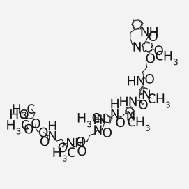 CCC(CO)OC(COC(=O)NCCC(=O)N[C@@H](C)C(=O)OCCCNC(=O)c1cc(NC(=O)c2cc(NC(=O)c3cc(NC(=O)CCCOc4cc5c(cc4OC)C(=O)Nc4ccccc4CC/C=N\5)cn3C)cn2C)cn1C)OC